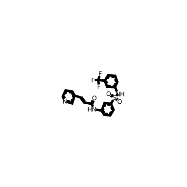 O=C(/C=C/c1cccnc1)Nc1cccc(S(=O)(=O)Nc2cccc(C(F)(F)F)c2)c1